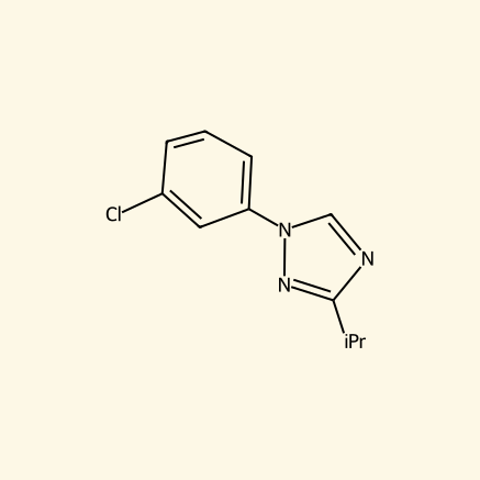 CC(C)c1ncn(-c2cccc(Cl)c2)n1